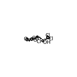 O=C(Oc1ccc(CN2CCOCC2)cc1)c1ccc(CCC[C@@H]2[C@@H](CCc3cc(Cl)cc(Cl)c3)[C@H](O)C[C@H]2Cl)s1